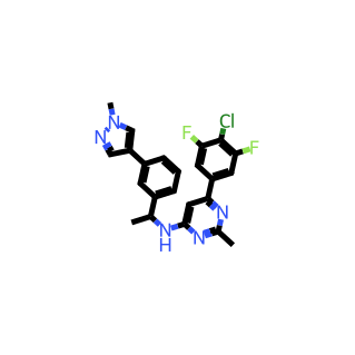 Cc1nc(NC(C)c2cccc(-c3cnn(C)c3)c2)cc(-c2cc(F)c(Cl)c(F)c2)n1